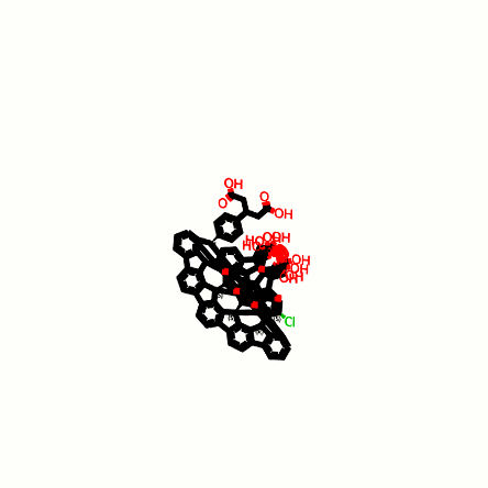 O=C(O)CC(CC(=O)O)c1ccc([C@]23C4=C5[C@]6(c7ccc(C(CC(=O)O)CC(=O)O)cc7)c7c8ccc(c72)-c2ccc7c(c23)[C@]2(c3ccc(C(CC(=O)O)CC(=O)O)cc3)C4=C3[C@@]4(c9ccc(C(CC(=O)O)CC(=O)O)cc9)c9c(ccc-7c92)-c2ccc7c(c24)[C@@](c2ccc(C(CC(=O)O)CC(=O)O)cc2)(c2c-7ccc-8c26)[C@@]53Cl)cc1